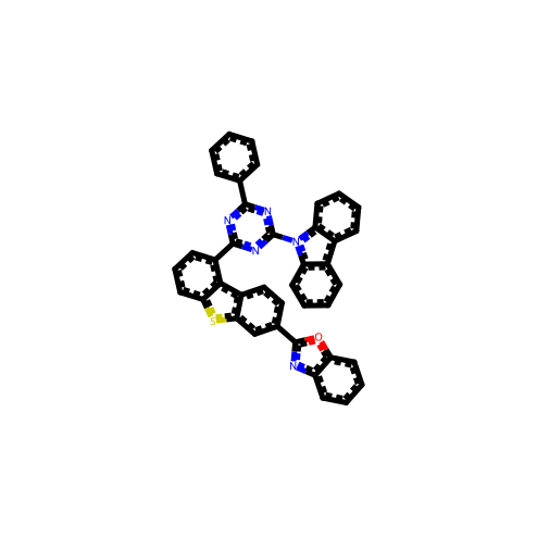 c1ccc(-c2nc(-c3cccc4sc5cc(-c6nc7ccccc7o6)ccc5c34)nc(-n3c4ccccc4c4ccccc43)n2)cc1